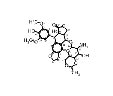 COc1cc([C@@H]2c3cc4c(cc3C(OC3OC5COC(C)OC5C(O)C3N)C3COC(=O)[C@@H]32)OCO4)cc(OC)c1O